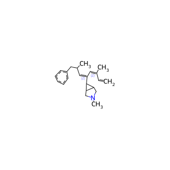 C=C/C(C)=C\C(=C/C(C)Cc1ccccc1)C1C2CN(C)CC21